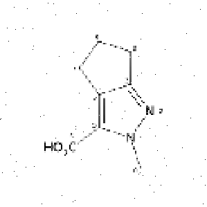 Cn1nc2c(c1C(=O)O)CCC2